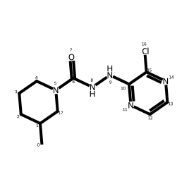 CC1CCCN(C(=O)NNc2nccnc2Cl)C1